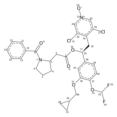 O=C(CC1CCCN1C(=O)c1ccccc1)O[C@@H](Cc1c(Cl)c[n+]([O-])cc1Cl)c1ccc(OC(F)F)c(OCC2CC2)c1